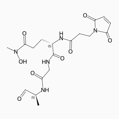 C[C@@H](C=O)NC(=O)CNC(=O)[C@H](CCC(=O)N(C)O)NC(=O)CCN1C(=O)C=CC1=O